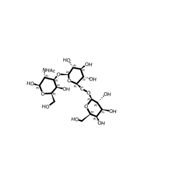 CC(=O)N[C@@H]1[C@@H](O[C@@H]2O[C@H](CO[C@@H]3O[C@H](CO)[C@H](O)[C@H](O)[C@H]3O)[C@@H](O)[C@H](O)[C@H]2O)[C@@H](O)[C@@H](CO)O[C@H]1O